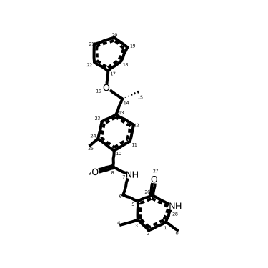 Cc1cc(C)c(CNC(=O)c2ccc([C@@H](C)Oc3ccccc3)cc2C)c(=O)[nH]1